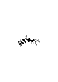 CCC(C)C1CC(Nc2cnc(C(F)(F)F)cn2)C1